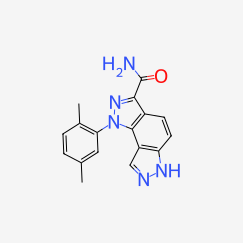 Cc1ccc(C)c(-n2nc(C(N)=O)c3ccc4[nH]ncc4c32)c1